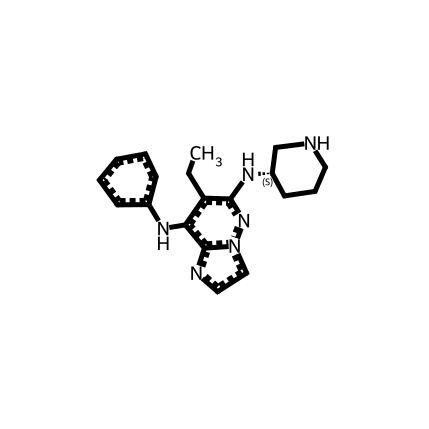 CCc1c(N[C@H]2CCCNC2)nn2ccnc2c1Nc1ccccc1